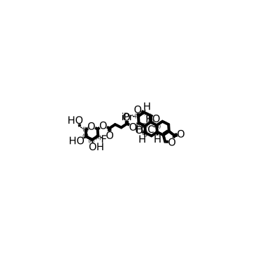 CC(C)[C@]12O[C@H]1[C@@H]1O[C@]13[C@]1(O[C@H]1C[C@H]1C4=C(CC[C@@]13C)C(=O)OC4)[C@@H]2OC(=O)CCC(=O)OC1O[C@@H](CO)[C@H](O)[C@@H](O)[C@H]1F